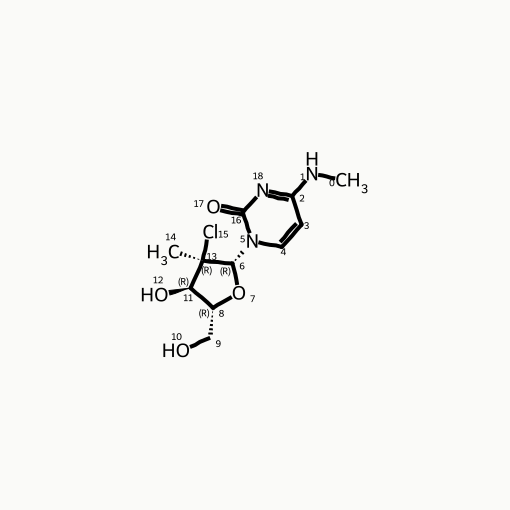 CNc1ccn([C@@H]2O[C@H](CO)[C@@H](O)[C@@]2(C)Cl)c(=O)n1